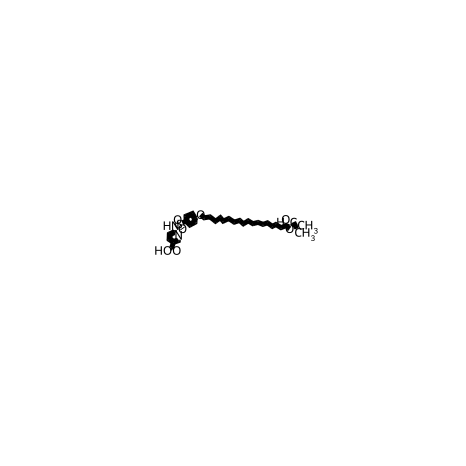 CC(C)(C)OC(=O)CCCCCCCCCCCCCCCCCOc1ccc(S(=O)(=O)Nc2ccc(C(=O)O)cn2)cc1